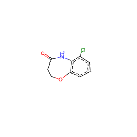 O=C1CCOc2cccc(Cl)c2N1